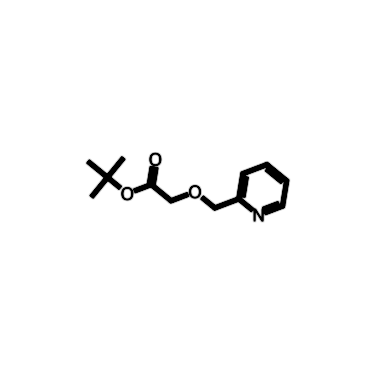 CC(C)(C)OC(=O)COCc1ccccn1